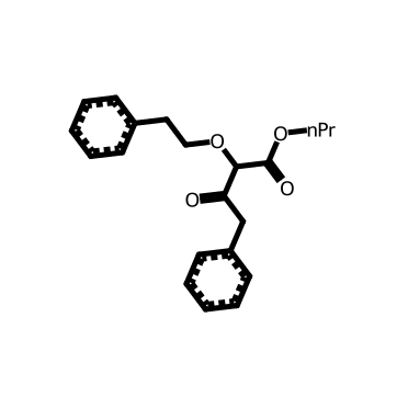 CCCOC(=O)C(OCCc1ccccc1)C(=O)Cc1ccccc1